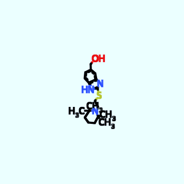 CC1(C)CCCC(C)(C)N1CCSc1nc2cc(CO)ccc2[nH]1